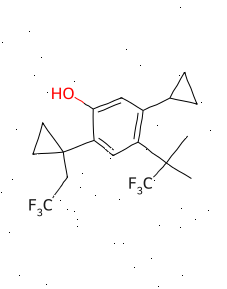 CC(C)(c1cc(C2(CC(F)(F)F)CC2)c(O)cc1C1CC1)C(F)(F)F